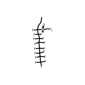 CCCC(F)(C(F)(F)C(F)(F)C(F)(F)C(F)(F)C(F)(F)C(F)(F)C(F)(F)F)S(N)(=O)=O